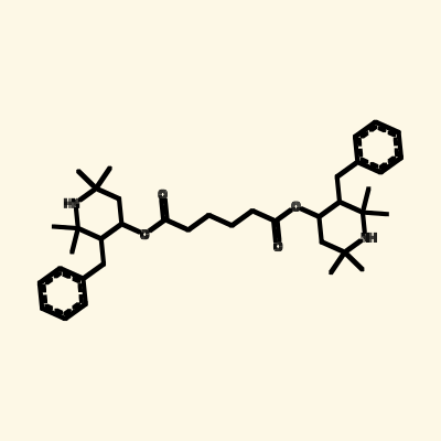 CC1(C)CC(OC(=O)CCCCC(=O)OC2CC(C)(C)NC(C)(C)C2Cc2ccccc2)C(Cc2ccccc2)C(C)(C)N1